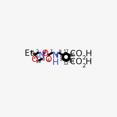 CCC1CN(OC(=O)CNCc2ccc(C(=O)O)c(C(=O)O)c2)CCO1